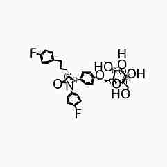 O=C1[C@H](CCCc2ccc(F)cc2)[C@@H](c2ccc(OC[C@@H]3O[C@H](CO)[C@@H](O)[C@H](O)[C@H]3O)cc2)N1c1ccc(F)cc1